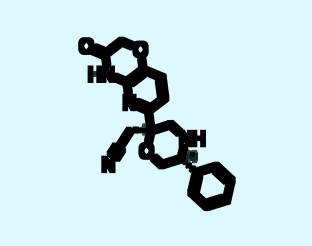 N#CC[C@]1(c2ccc3c(n2)NC(=O)CO3)CN[C@H](c2ccccc2)CO1